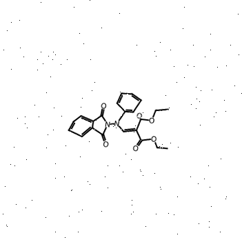 CCOC(=O)C(=CN(c1ccccc1)N1C(=O)c2ccccc2C1=O)C(=O)OCC